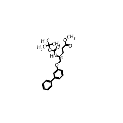 COC(=O)CC[C@@H](COc1cccc(-c2ccccc2)c1)NC(=O)OC(C)(C)C